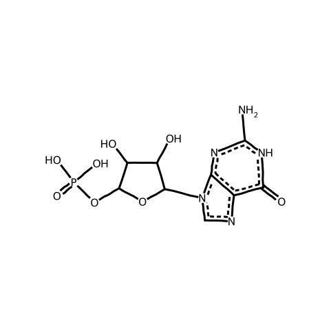 Nc1nc2c(ncn2C2OC(OP(=O)(O)O)C(O)C2O)c(=O)[nH]1